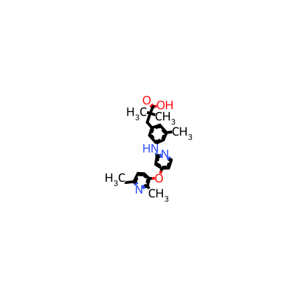 CCc1ccc(Oc2ccnc(Nc3cc(C)cc(CC(C)(C)C(=O)O)c3)c2)c(C)n1